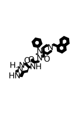 NC(=O)[C@H](Cc1c[nH]cn1)NC(=O)CN1CN(c2ccccc2)C2(CCN(Cc3cccc4ccccc34)CC2)C1=O